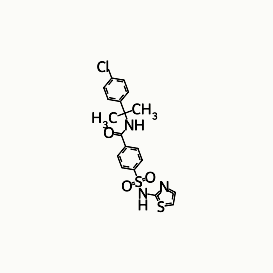 CC(C)(NC(=O)c1ccc(S(=O)(=O)Nc2nccs2)cc1)c1ccc(Cl)cc1